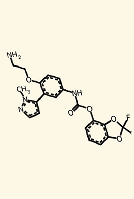 Cn1nccc1-c1cc(NC(=O)Oc2cccc3c2OC(F)(F)O3)ccc1OCCN